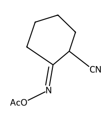 CC(=O)ON=C1CCCCC1C#N